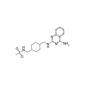 CS(=O)(=O)NCC1CCC(CNc2nc(N)c3ccccc3n2)CC1